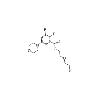 O=C(OCCOCCBr)c1cc(N2CCOCC2)cc(F)c1F